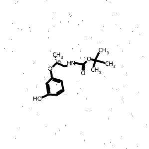 C[C@H](CNC(=O)OC(C)(C)C)Oc1cccc(O)c1